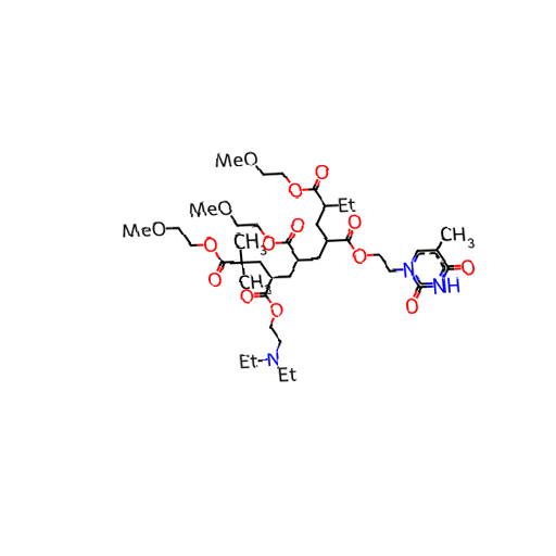 CCC(CC(CC(CC(CC(C)(C)C(=O)OCCOC)C(=O)OCCN(CC)CC)C(=O)OCCOC)C(=O)OCCn1cc(C)c(=O)[nH]c1=O)C(=O)OCCOC